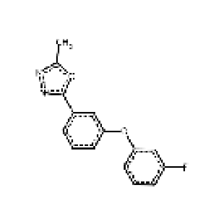 Cc1nnc(-c2cccc(Oc3cc[c]c(F)c3)c2)o1